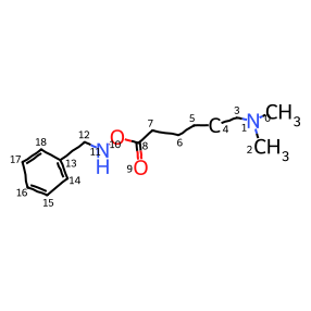 CN(C)CCCCCC(=O)ONCc1ccccc1